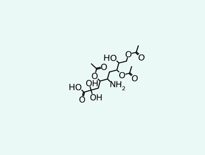 CC(=O)OCC(O)C(CC(N)C(CC(O)(O)C(=O)O)OC(C)=O)OC(C)=O